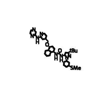 CSc1cccc(-n2nc(C(C)(C)C)cc2NC(=O)Nc2ccc(OCc3ccnc(Nc4cnccn4)c3)c3ccccc23)c1